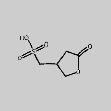 O=C1CC(CS(=O)(=O)O)CO1